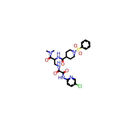 CN(C)C(=O)C(CNC(=O)C(=O)Nc1ccc(Cl)cn1)NC(=O)C1CCN(S(=O)(=O)c2ccccc2)CC1